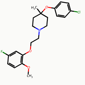 COc1ccc(F)cc1OCCN1CCC(C)(Oc2ccc(Cl)cc2)CC1